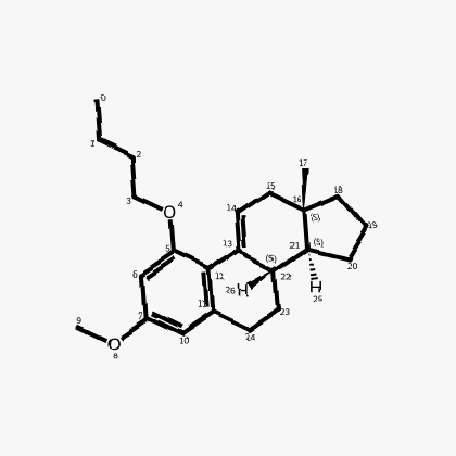 CCCCOc1cc(OC)cc2c1C1=CC[C@]3(C)CCC[C@H]3[C@@H]1CC2